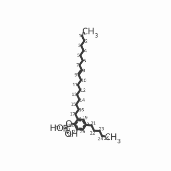 CCCCCCCCC=CCCCCCCCCc1cc(CCCCC)ccc1OP(O)O